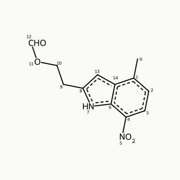 Cc1ccc([N+](=O)[O-])c2[nH]c(CCOC=O)cc12